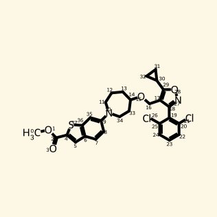 COC(=O)c1cc2ccc(N3CCCC(OCc4c(-c5c(Cl)cccc5Cl)noc4C4CC4)CC3)cc2s1